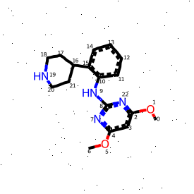 COc1cc(OC)nc(Nc2ccccc2C2CCNCC2)n1